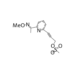 CO/N=C(\C)c1cccc(C#CCOS(C)(=O)=O)n1